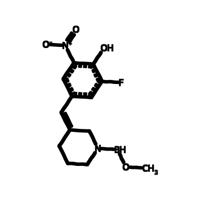 COBN1CCCC(=Cc2cc(F)c(O)c([N+](=O)[O-])c2)C1